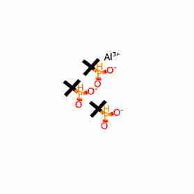 CC(C)(C)[PH](=O)[O-].CC(C)(C)[PH](=O)[O-].CC(C)(C)[PH](=O)[O-].[Al+3]